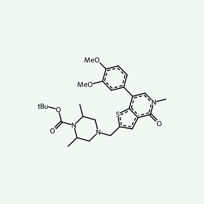 COc1ccc(-c2cn(C)c(=O)c3cc(CN4CC(C)N(C(=O)OC(C)(C)C)C(C)C4)sc23)cc1OC